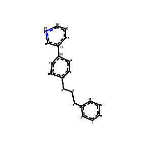 c1ccc(CCCc2ccc(-c3cccnc3)cc2)cc1